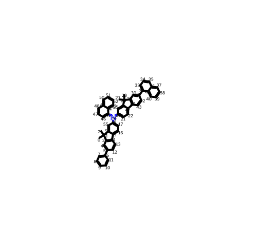 CC1(C)c2cc(-c3ccccc3)ccc2-c2ccc(N(c3ccc4c(c3)C(C)(C)c3cc(-c5cccc6ccccc56)ccc3-4)c3cccc4ccccc34)cc21